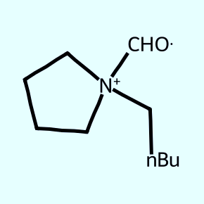 CCCCC[N+]1([C]=O)CCCC1